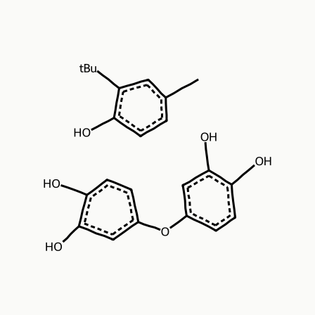 Cc1ccc(O)c(C(C)(C)C)c1.Oc1ccc(Oc2ccc(O)c(O)c2)cc1O